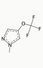 Cn1cc(OC(F)(F)F)cn1